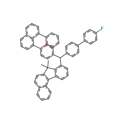 CC1(C)c2ccc3ccccc3c2-c2cccc(C(c3ccc(-c4ccc(F)cc4)cc3)c3ccc(-c4cccc5cccc(-c6ccccc6)c45)cc3)c21